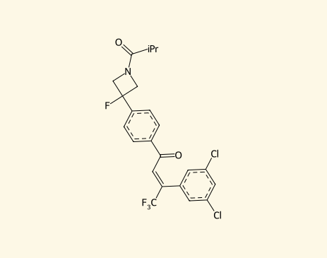 CC(C)C(=O)N1CC(F)(c2ccc(C(=O)C=C(c3cc(Cl)cc(Cl)c3)C(F)(F)F)cc2)C1